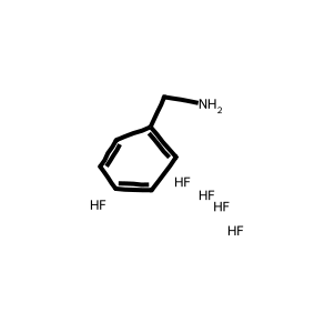 F.F.F.F.F.NCc1ccccc1